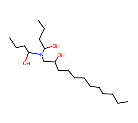 CCCCCCCCCCC(O)CN(C(O)CCC)C(O)CCC